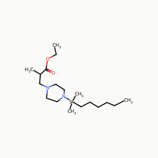 CCCCCC[Si](C)(C)N1CCN(CC(C)C(=O)OCC)CC1